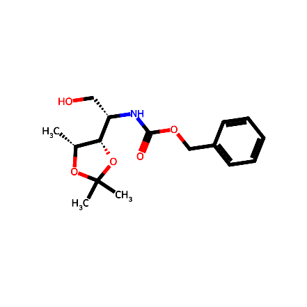 C[C@H]1OC(C)(C)O[C@H]1[C@H](CO)NC(=O)OCc1ccccc1